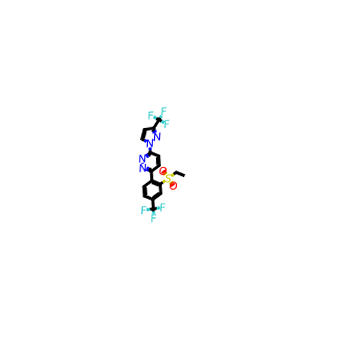 CCS(=O)(=O)c1cc(C(F)(F)F)ccc1-c1ccc(-n2ccc(C(F)(F)F)n2)nn1